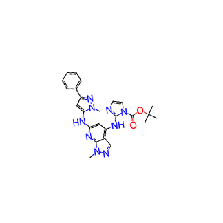 Cn1nc(-c2ccccc2)cc1Nc1cc(Nc2nccn2C(=O)OC(C)(C)C)c2cnn(C)c2n1